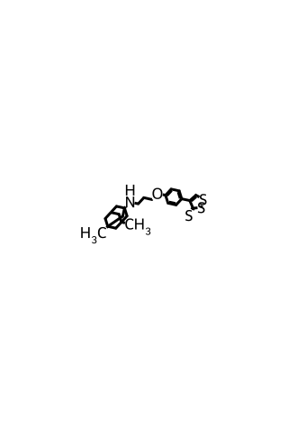 CC12CC3CC(C)(C1)CC(NCCCOc1ccc(-c4cssc4=S)cc1)(C3)C2